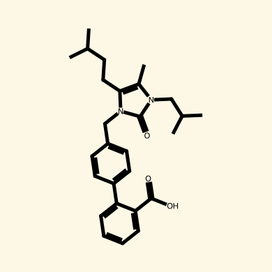 Cc1c(CCC(C)C)n(Cc2ccc(-c3ccccc3C(=O)O)cc2)c(=O)n1CC(C)C